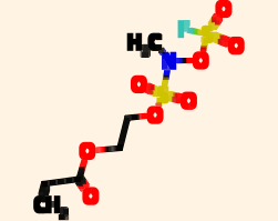 C=CC(=O)OCCOS(=O)(=O)N(C)OS(=O)(=O)F